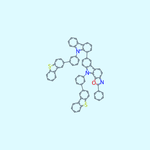 c1ccc(-c2nc3ccc4c5cc(-c6cccc7c8ccccc8n(-c8cccc(-c9ccc%10sc%11ccccc%11c%10c9)c8)c67)ccc5n(-c5cccc(-c6ccc7sc8ccccc8c7c6)c5)c4c3o2)cc1